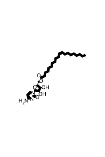 CCCCCCCC/C=C\CCCCCCCCCC(=O)OC[C@H]1O[C@@H](n2ccc(N)nc2=O)[C@@H](O)[C@@H]1O